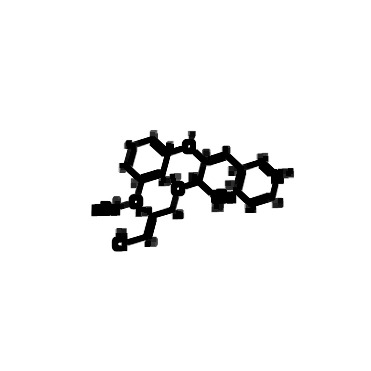 CCCCOc1cccc(O/C(=C/c2cccnc2)C(OC/C=C/Cl)C(C)(C)C)c1